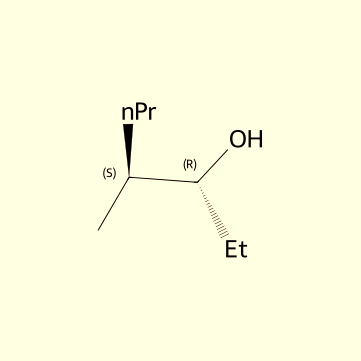 CCC[C@H](C)[C@H](O)CC